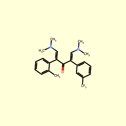 Cc1ccccc1C(=CN(C)C)C(=O)C(=CN(C)C)c1cccc(C(F)(F)F)c1